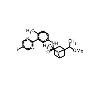 COC(C)C12CC(C)CC(C1)N2C(=O)Nc1ccc(C)c(-c2ncc(F)cn2)c1